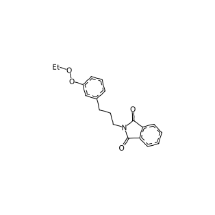 CCOOc1cccc(CCCN2C(=O)c3ccccc3C2=O)c1